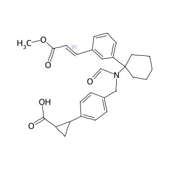 COC(=O)/C=C/c1cccc(C2(N(C=O)Cc3ccc(C4CC4C(=O)O)cc3)CCCCC2)c1